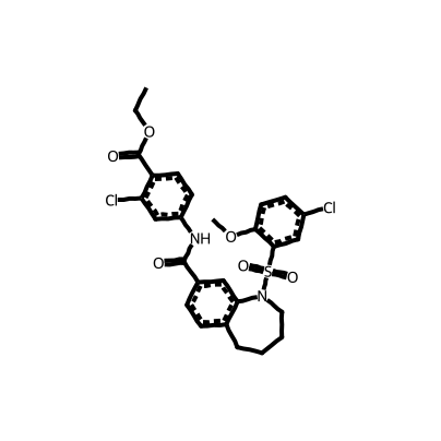 CCOC(=O)c1ccc(NC(=O)c2ccc3c(c2)N(S(=O)(=O)c2cc(Cl)ccc2OC)CCCC3)cc1Cl